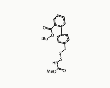 COC(=O)NSSCc1ccc(-c2ccccc2C(=O)OC(C)(C)C)cc1